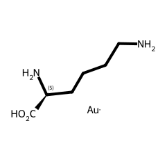 NCCCC[C@H](N)C(=O)O.[Au]